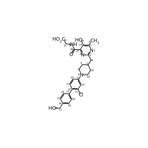 Cc1nc(CC2CCN(c3ccc(-c4ccc(CO)cc4)c(Cl)c3)CC2)nc(C(=O)NCC(=O)O)c1O